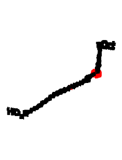 CCCCCCCCC=CCCCCCCCCCCCC(=O)OCCCCCCCCCCCCCCCCCCCCCCCCCCCCCCCCCCCCCCCC(=O)O